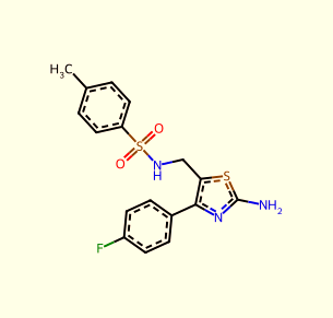 Cc1ccc(S(=O)(=O)NCc2sc(N)nc2-c2ccc(F)cc2)cc1